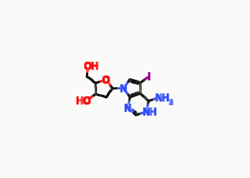 NC1NC=Nc2c1c(I)cn2C1CC(O)C(CO)O1